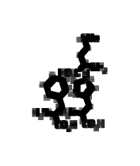 CSCCC(N)C(=O)O.NC(Cc1c[nH]cn1)C(=O)O.NC(Cc1ccccc1)C(=O)O